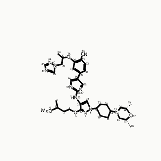 COC(C)CCOc1nn(C2CCC(N3C[C@@H](C)O[C@@H](C)C3)CC2)cc1Nc1ncc(-c2ccc(C#N)c(OC(C)Cn3cncn3)c2)cn1